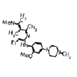 CC/C=C(/N=C(C)\C(C)=C(/C)NC)Nc1ccc(N2CCN(C)CC2)cc1OC